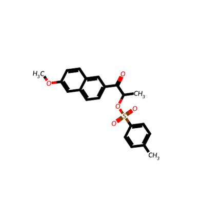 COc1ccc2cc(C(=O)C(C)OS(=O)(=O)c3ccc(C)cc3)ccc2c1